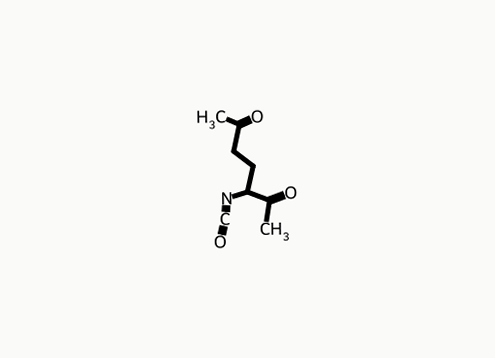 CC(=O)CCC(N=C=O)C(C)=O